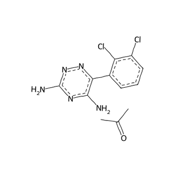 CC(C)=O.Nc1nnc(-c2cccc(Cl)c2Cl)c(N)n1